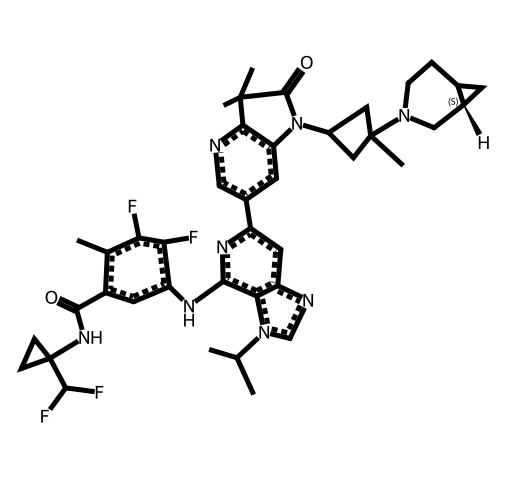 Cc1c(C(=O)NC2(C(F)F)CC2)cc(Nc2nc(-c3cnc4c(c3)N(C3CC(C)(N5CCC6C[C@@H]6C5)C3)C(=O)C4(C)C)cc3ncn(C(C)C)c23)c(F)c1F